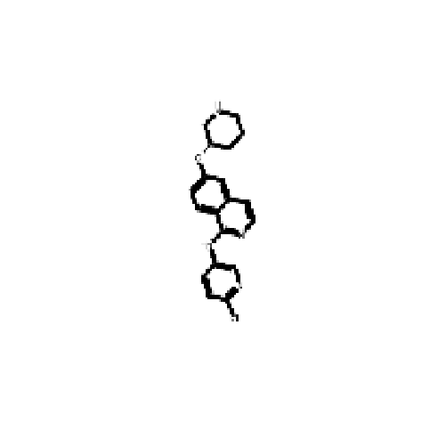 Clc1ccc(Nc2nccc3cc(O[C@H]4CCCNC4)ccc23)cn1